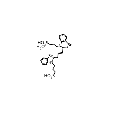 O.O=S(=O)(O)CCCN1C(=CC=CC2C[Se]c3ccccc3N2CCCS(=O)(=O)O)[Se]c2ccccc21